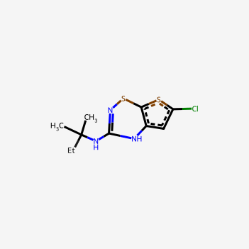 CCC(C)(C)NC1=NSc2sc(Cl)cc2N1